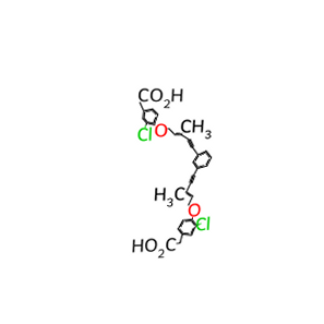 CC(C#Cc1cccc(C#CC(C)=CCOc2ccc(CC(=O)O)cc2Cl)c1)=CCOc1ccc(CC(=O)O)cc1Cl